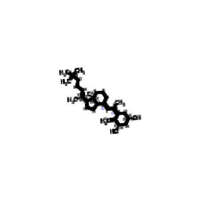 C=C1/C(=C(C)\C=C2/CCC[C@@]3(C)C2CCC3[C@H](C)CCCC(C)(C)C)C[C@@H](O)C[C@@H]1O